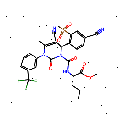 CCC[C@H](NC(=O)N1C(=O)N(c2cccc(C(F)(F)F)c2)C(C)=C(C#N)[C@H]1c1ccc(C#N)cc1S(C)(=O)=O)C(=O)OC